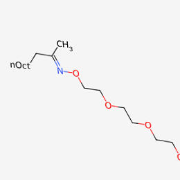 CCCCCCCCCC(C)=NOCCOCCOCCO